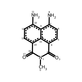 CN1C(=O)c2ccc(N)c3c(N)ccc(c23)C1=O